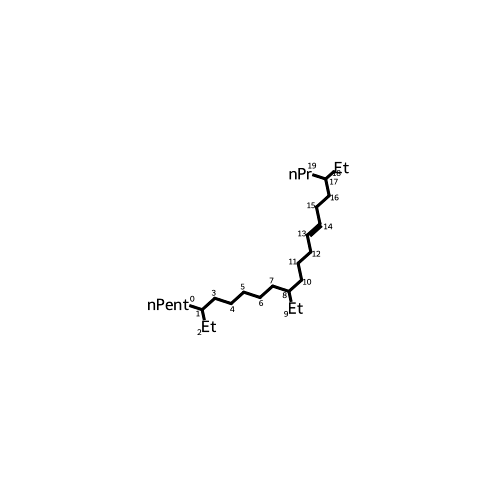 [CH2]CCCCC(CC)CCCCCC(CC)CCC/C=C/CCC(CC)CC[CH2]